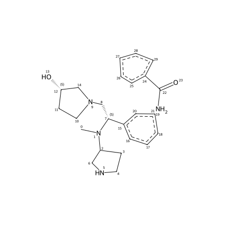 CN(C1CCNC1)[C@H](CN1CC[C@H](O)C1)c1ccccc1.NC(=O)c1ccccc1